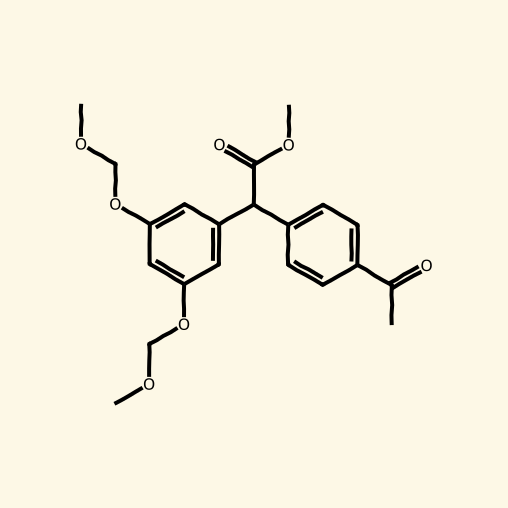 COCOc1cc(OCOC)cc(C(C(=O)OC)c2ccc(C(C)=O)cc2)c1